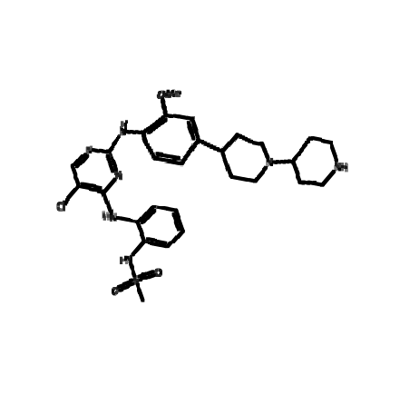 COc1cc(C2CCN(C3CCNCC3)CC2)ccc1Nc1ncc(Cl)c(Nc2ccccc2NS(C)(=O)=O)n1